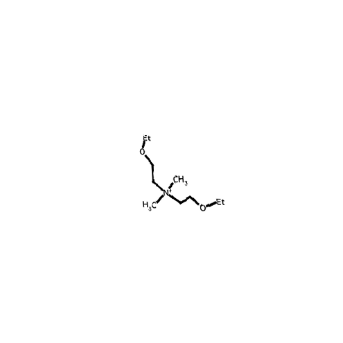 CCOCC[N+](C)(C)CCOCC